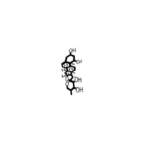 CC1CO[C@@]2(O[C@H]3C[C@H]4[C@@H]5CC=C6CC(O)CC(O)[C@]6(C)[C@H]5CC[C@]4(C)[C@H]3[C@@H]2C)C(O)C1O